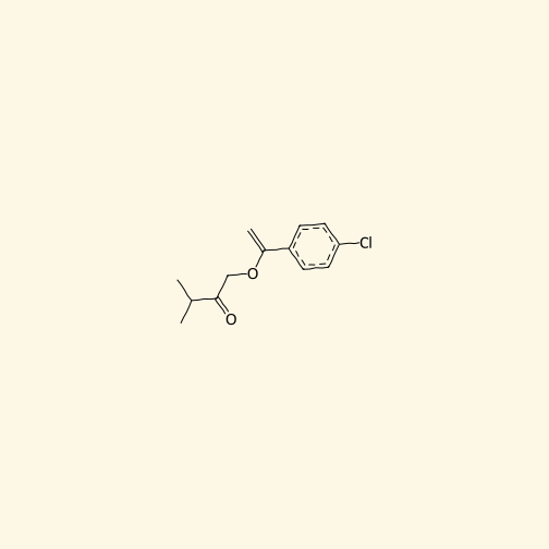 C=C(OCC(=O)C(C)C)c1ccc(Cl)cc1